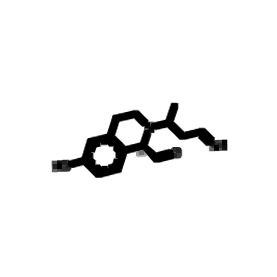 CC(CC=N)N1CCc2cc(O)ccc2[C@@H]1C=O